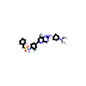 CC(C)c1cc(-c2ccc(NS(=O)(=O)Cc3ccccc3)c(F)c2)nc2cnc(N[C@H]3CC[C@H](N(C)C)CC3)nc12